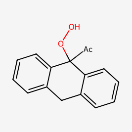 CC(=O)C1(OO)c2ccccc2Cc2ccccc21